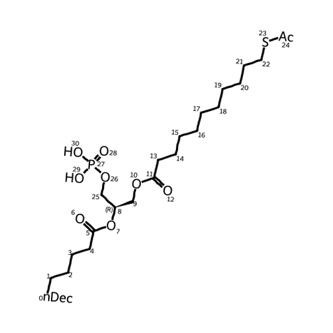 CCCCCCCCCCCCCCC(=O)O[C@H](COC(=O)CCCCCCCCCCSC(C)=O)COP(=O)(O)O